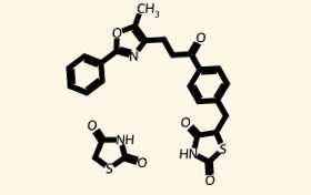 Cc1oc(-c2ccccc2)nc1CCC(=O)c1ccc(CC2SC(=O)NC2=O)cc1.O=C1CSC(=O)N1